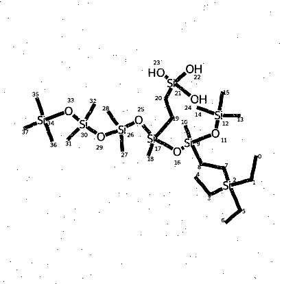 CC[Si](CC)(CC)CC[Si](C)(O[Si](C)(C)C)O[Si](C)(CC[Si](O)(O)O)O[Si](C)(C)O[Si](C)(C)O[Si](C)(C)C